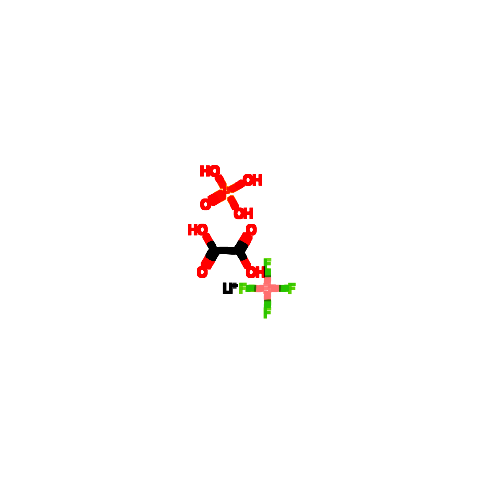 F[B-](F)(F)F.O=C(O)C(=O)O.O=P(O)(O)O.[Li+]